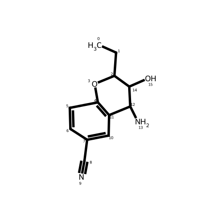 CCC1Oc2ccc(C#N)cc2C(N)C1O